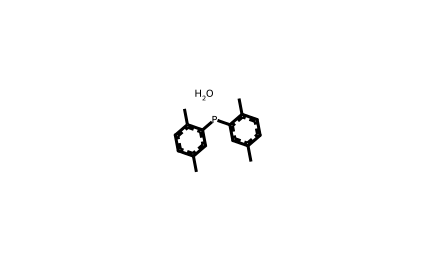 Cc1ccc(C)c([P]c2cc(C)ccc2C)c1.O